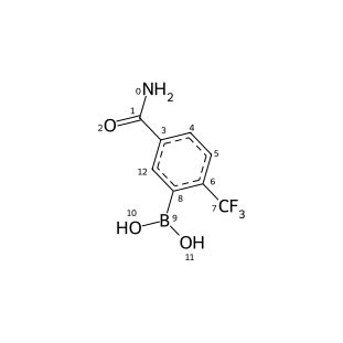 NC(=O)c1ccc(C(F)(F)F)c(B(O)O)c1